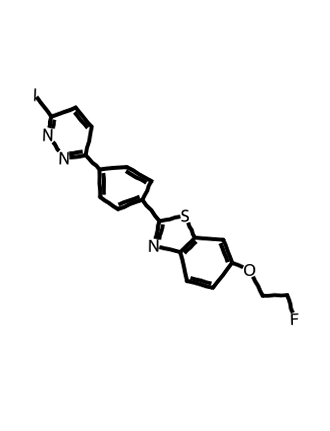 FCCOc1ccc2nc(-c3ccc(-c4ccc(I)nn4)cc3)sc2c1